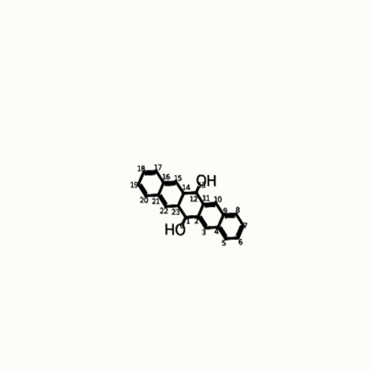 OC1c2cc3ccccc3cc2C(O)C2C=c3ccccc3=CC12